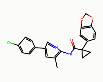 Cc1cc(-c2ccc(Cl)cc2)cnc1NC(=O)C1(c2ccc3c(c2)OCO3)CC1